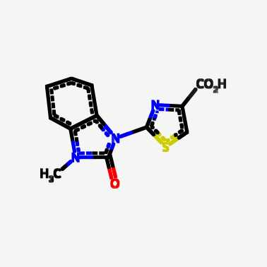 Cn1c(=O)n(-c2nc(C(=O)O)cs2)c2ccccc21